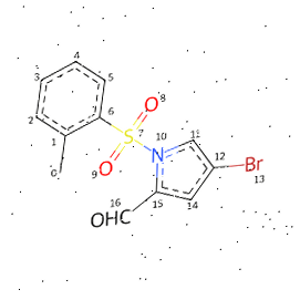 Cc1ccccc1S(=O)(=O)n1cc(Br)cc1C=O